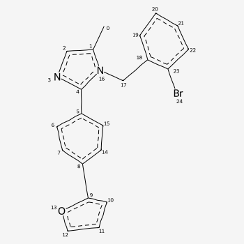 Cc1cnc(-c2ccc(-c3ccco3)cc2)n1Cc1ccccc1Br